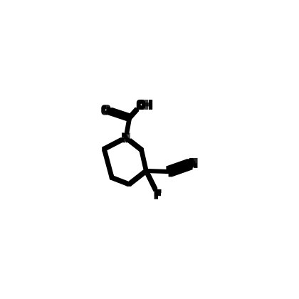 N#CC1(F)CCCN(C(=O)O)C1